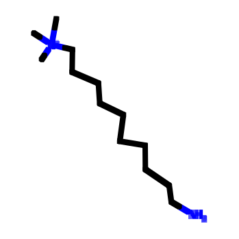 C[N+](C)(C)CCCCCCCCCCN